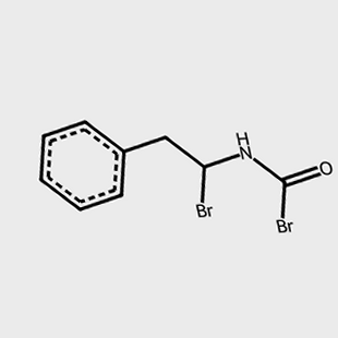 O=C(Br)NC(Br)Cc1ccccc1